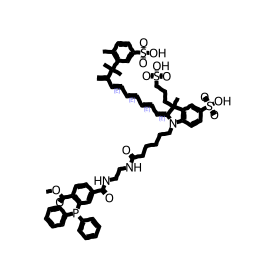 C=C(/C=C/C=C/C=C/C=C1/N(CCCCCC(=O)NCCNC(=O)c2ccc(C(=O)OC)c(P(c3ccccc3)c3ccccc3)c2)c2ccc(S(=O)(=O)O)cc2C1(C)CCCS(=O)(=O)O)C(C)(C)c1cc(S(=O)(=O)O)ccc1C